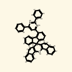 c1ccc(-c2cc(-c3cccc4c3-c3ccccc3C43c4ccc5ccccc5c4Oc4c3ccc3ccccc43)nc(-c3ccccc3)n2)cc1